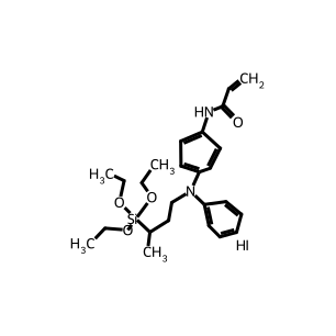 C=CC(=O)Nc1ccc(N(CCC(C)[Si](OCC)(OCC)OCC)c2ccccc2)cc1.I